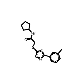 Cc1cccc(-c2nsc(SCC(=O)NC3CCCC3)n2)c1